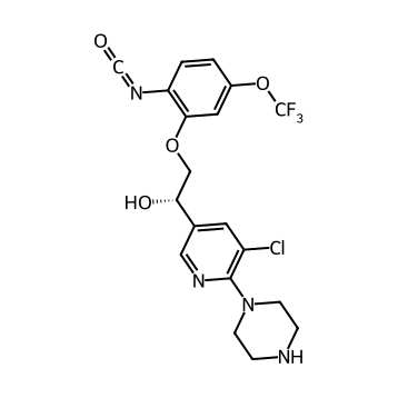 O=C=Nc1ccc(OC(F)(F)F)cc1OC[C@@H](O)c1cnc(N2CCNCC2)c(Cl)c1